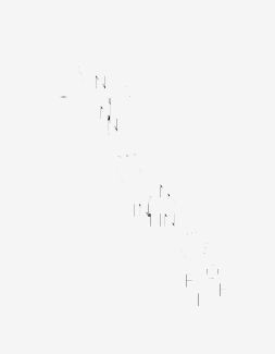 CCC1CS/C(=N\N=C\c2ccc(C(=N)/N=C\Nc3ccc(OC(F)(F)F)cc3)cc2)N1C1=C(C)CCC=C1